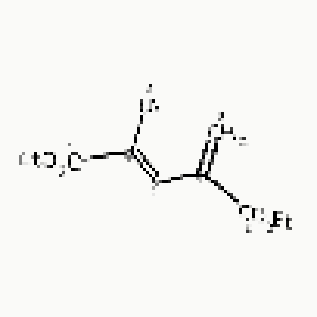 C=C(/C=C(\C#N)C(=O)OCC)C(=O)OCC